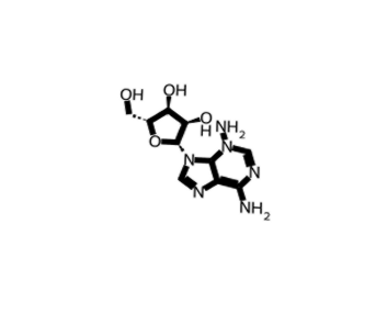 NC1=C2N=CN([C@@H]3O[C@H](CO)[C@@H](O)[C@H]3O)C2N(N)C=N1